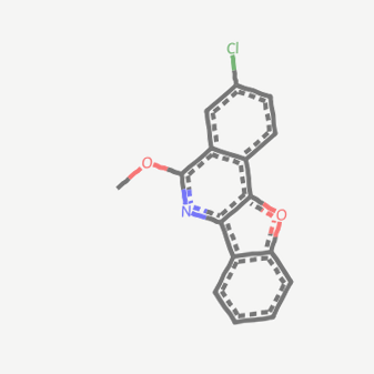 COc1nc2c3ccccc3oc2c2ccc(Cl)cc12